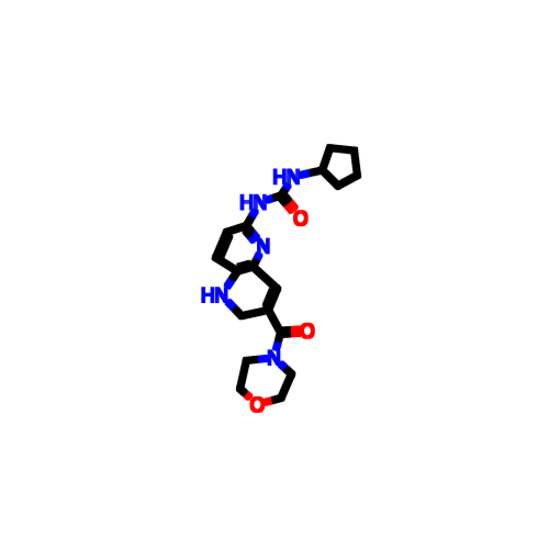 O=C(Nc1ccc2c(n1)C=C(C(=O)N1CCOCC1)CN2)NC1CCCC1